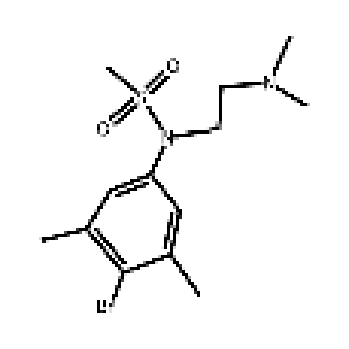 Cc1cc(N(CCN(C)C)S(C)(=O)=O)cc(C)c1Br